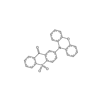 O=C1c2ccccc2S(=O)(=O)c2ccc(N3c4ccccc4Oc4ccccc43)cc21